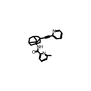 Cc1cccc(C(=O)NC23CC4CC(CC(C#Cc5ccccn5)(C4)C2)C3)n1